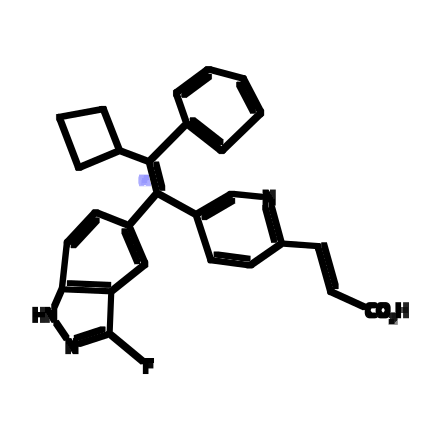 O=C(O)C=Cc1ccc(/C(=C(\c2ccccc2)C2CCC2)c2ccc3[nH]nc(F)c3c2)cn1